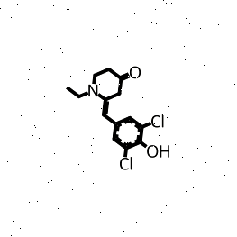 CCN1CCC(=O)C/C1=C\c1cc(Cl)c(O)c(Cl)c1